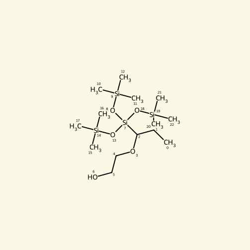 CCC(OCCO)[Si](O[Si](C)(C)C)(O[Si](C)(C)C)O[Si](C)(C)C